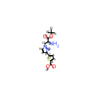 COC(=O)c1ccc(-c2ccn(CC(N)C(=O)OC(C)(C)C)n2)s1